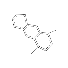 Cc1ccc(C)c2cc3ccccc3cc12